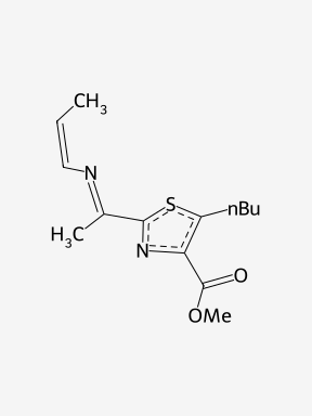 C/C=C\N=C(/C)c1nc(C(=O)OC)c(CCCC)s1